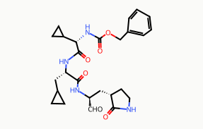 O=C[C@H](C[C@@H]1CCNC1=O)NC(=O)[C@H](CC1CC1)NC(=O)[C@@H](NC(=O)OCc1ccccc1)C1CC1